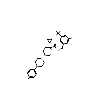 C[C@@H](NC(=O)[C@@]1(C2CC2)CC[C@@H](N2CCC(c3ccc(F)cc3)CC2)CO1)c1cc(F)cc(C(F)(F)F)c1